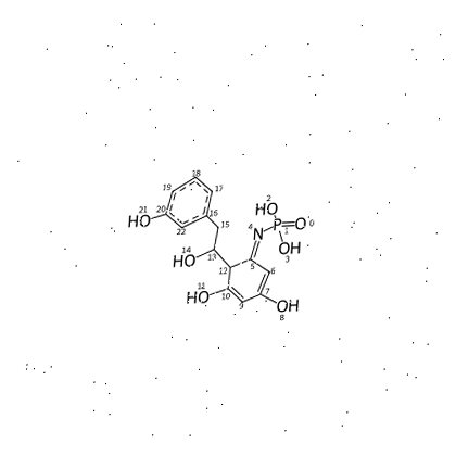 O=P(O)(O)N=C1C=C(O)C=C(O)C1C(O)Cc1cccc(O)c1